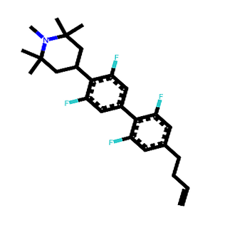 C=CCCc1cc(F)c(-c2cc(F)c(C3CC(C)(C)N(C)C(C)(C)C3)c(F)c2)c(F)c1